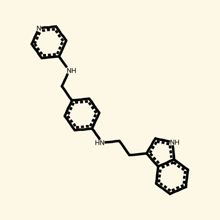 c1ccc2c(CCNc3ccc(CNc4ccncc4)cc3)c[nH]c2c1